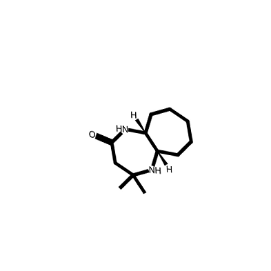 CC1(C)CC(=O)N[C@@H]2CCCCC[C@@H]2N1